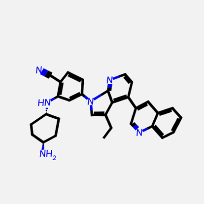 CCc1cn(-c2ccc(C#N)c(N[C@H]3CC[C@H](N)CC3)c2)c2nccc(-c3cnc4ccccc4c3)c12